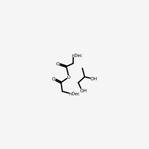 CC(O)CO.CCCCCCCCCCCC(=O)OC(=O)CCCCCCCCCCC